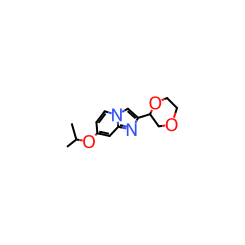 CC(C)Oc1ccn2cc(C3COCCO3)nc2c1